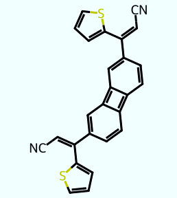 N#CC=C(c1ccc2c(c1)=c1cc(C(=CC#N)c3cccs3)ccc1=2)c1cccs1